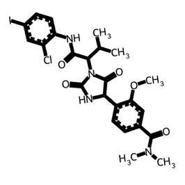 COc1cc(C(=O)N(C)C)ccc1C1NC(=O)N(C(C(=O)Nc2ccc(I)cc2Cl)C(C)C)C1=O